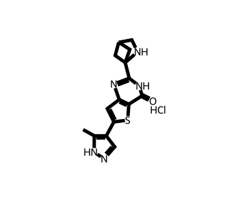 Cc1[nH]ncc1-c1cc2nc(C34CC(CN3)C4)[nH]c(=O)c2s1.Cl